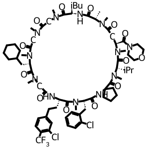 CC[C@H](C)[C@@H]1NC(=O)[C@H](C)N(C)C(=O)C[C@@H](C(=O)N2CCOCC2)N(C)C(=O)[C@H](C(C)C)N(C)C(=O)C2(CCCC2)NC(=O)[C@H](Cc2ccccc2Cl)N(C)C(=O)[C@H](CCc2ccc(C(F)(F)F)c(Cl)c2)NC(=O)CN(C)C(=O)[C@H](CC2CCCCC2)N(C)C(=O)CN(C)C(=O)CN(C)C1=O